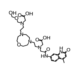 Cc1cc(=O)[nH]c2cc(NC(=O)CN(CCN3CCOCCN(CCN(COCO)CC(=O)O)CC3)CC(=O)O)ccc12